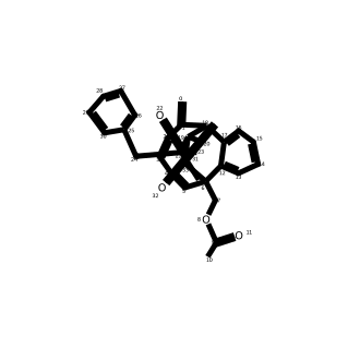 C=C1/C=C\C=C/C2(COC(C)=O)c3ccccc3C1C1(C)C(=O)N(Cc3ccccc3)C(=O)C21